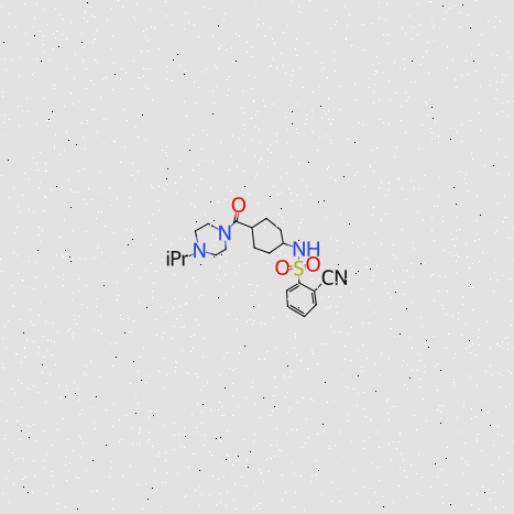 CC(C)N1CCN(C(=O)C2CCC(NS(=O)(=O)c3ccccc3C#N)CC2)CC1